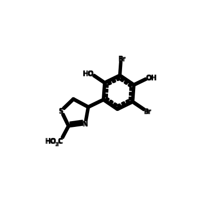 O=C(O)C1=NC(c2cc(Br)c(O)c(Br)c2O)CS1